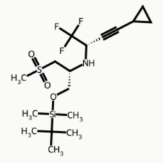 CC(C)(C)[Si](C)(C)OC[C@H](CS(C)(=O)=O)N[C@@H](C#CC1CC1)C(F)(F)F